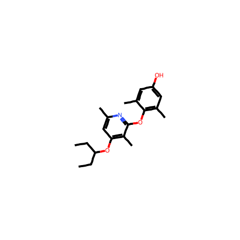 CCC(CC)Oc1cc(C)nc(Oc2c(C)cc(O)cc2C)c1C